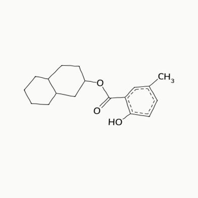 Cc1ccc(O)c(C(=O)OC2CCC3CCCCC3C2)c1